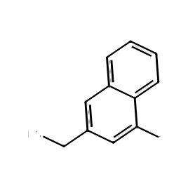 NCc1cc(F)c2ccccc2c1